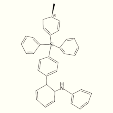 C[C@H]1C=CC([Si](c2ccccc2)(c2ccccc2)c2ccc(C3C=CC=CC3Nc3ccccc3)cc2)=CC1